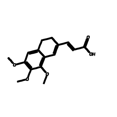 COc1cc2c(c(OC)c1OC)C=C(C=CC(=O)O)CC2